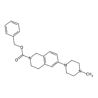 CN1CCN(c2ccc3c(c2)CCN(C(=O)OCc2ccccc2)C3)CC1